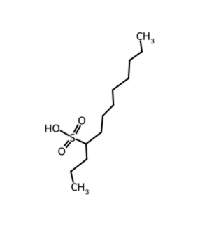 CCCCCCCCC(CCC)S(=O)(=O)O